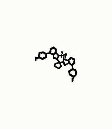 [CH3][Hf]1([CH3])[CH]2C(=Cc3c(-c4ccc(F)cc4)cccc32)C2(CCCC2)C2=Cc3c(-c4ccc(F)cc4)cccc3[CH]21